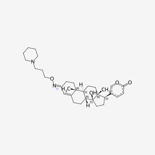 C[C@]12CC/C(=N\OCCCN3CCCCC3)C=C1CC[C@@H]1[C@@H]2CC[C@]2(C)[C@@H](c3ccc(=O)oc3)CC[C@]12O